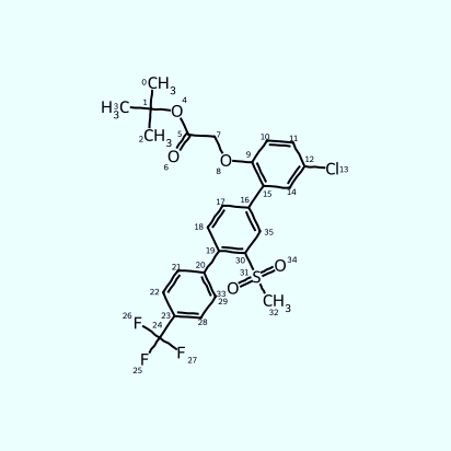 CC(C)(C)OC(=O)COc1ccc(Cl)cc1-c1ccc(-c2ccc(C(F)(F)F)cc2)c(S(C)(=O)=O)c1